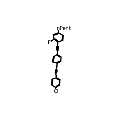 CCCCCc1ccc(C#Cc2ccc(C#Cc3ccc(Cl)cc3)cc2)c(F)c1